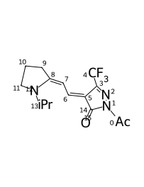 CC(=O)N1N=C(C(F)(F)F)/C(=C\C=C2\CCCN2C(C)C)C1=O